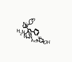 CC(=O)N1C[C@H](O)C[C@H]1c1cccc(-c2cc(-c3ccnn3C3CCOCC3)c3c(N)ncnn23)c1